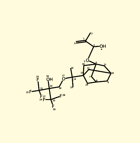 C=C(C)C(O)OC12CC3CC(C1)CC(C(C)(C)OCC(O)(C(F)(F)F)C(F)(F)F)(C3)C2